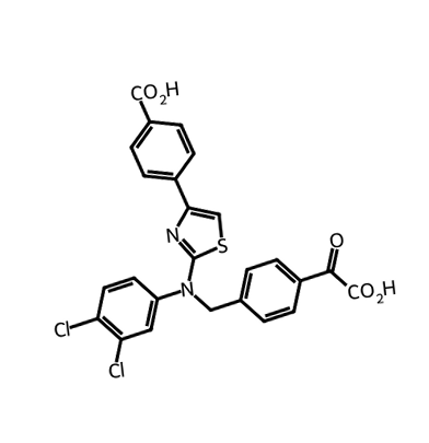 O=C(O)C(=O)c1ccc(CN(c2ccc(Cl)c(Cl)c2)c2nc(-c3ccc(C(=O)O)cc3)cs2)cc1